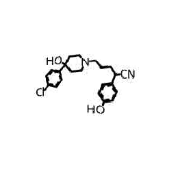 N#CC(CCCN1CCC(O)(c2ccc(Cl)cc2)CC1)c1ccc(O)cc1